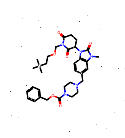 Cn1c(=O)n(C2CCC(=O)N(COCC[Si](C)(C)C)C2=O)c2ccc(CN3CCN(C(=O)OCc4ccccc4)CC3)cc21